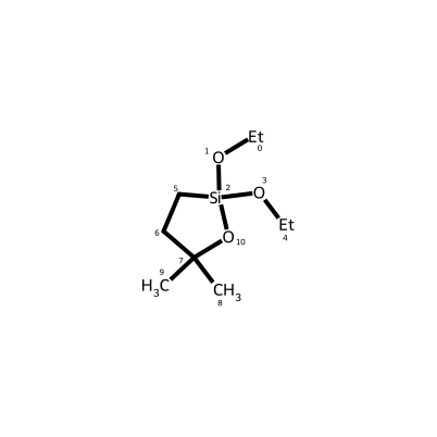 CCO[Si]1(OCC)CCC(C)(C)O1